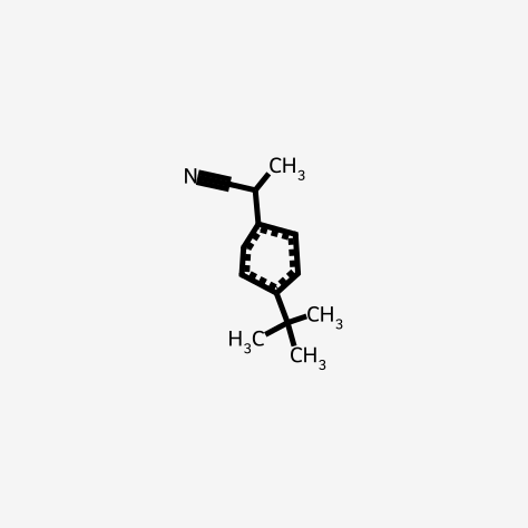 CC(C#N)c1ccc(C(C)(C)C)cc1